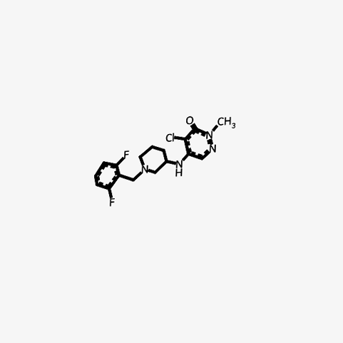 Cn1ncc(NC2CCCN(Cc3c(F)cccc3F)C2)c(Cl)c1=O